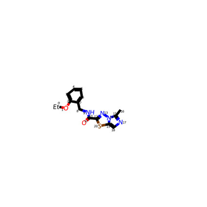 CCOc1ccccc1CNC(=O)c1nn2c(C)ncc2s1